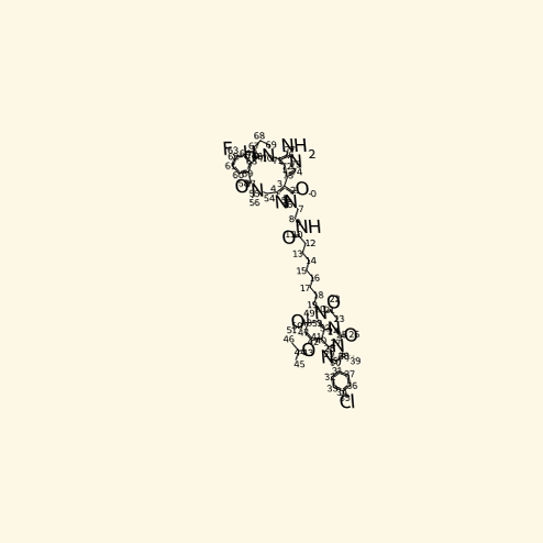 COc1c2c(nn1CCNC(=O)CCCCCCCCN1C(=O)CN3C(=O)N4C(=N[C@@H](c5ccc(Cl)cc5)[C@H]4C)C4(C)C(OC(C)C)=CC(C)(OC)C1=C34)CN(C)C(=O)c1ccc(F)cc1[C@H]1CCCN1c1cc-2cnc1N